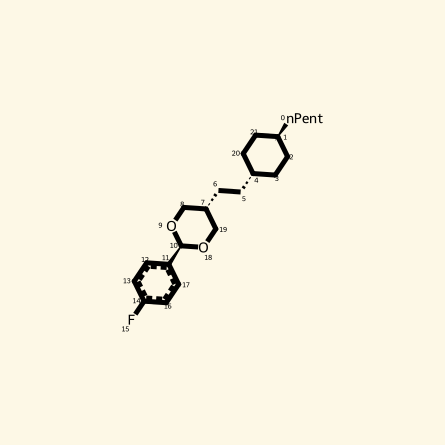 CCCCC[C@H]1CC[C@H](CC[C@H]2CO[C@H](c3ccc(F)cc3)OC2)CC1